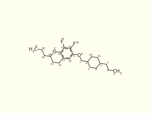 CCCC1CCC(COc2cc3c(c(F)c2F)OC(CCC)CC3)CC1